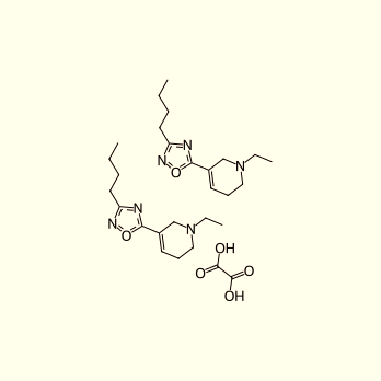 CCCCc1noc(C2=CCCN(CC)C2)n1.CCCCc1noc(C2=CCCN(CC)C2)n1.O=C(O)C(=O)O